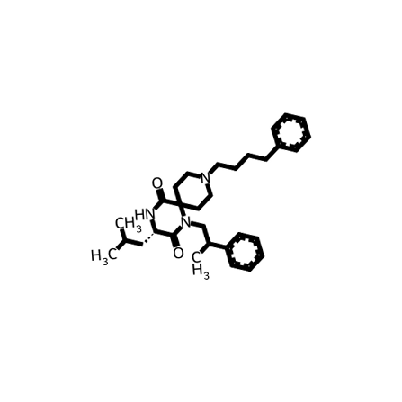 CC(C)C[C@@H]1NC(=O)C2(CCN(CCCCc3ccccc3)CC2)N(CC(C)c2ccccc2)C1=O